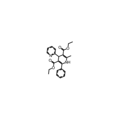 CCOC(=O)C1=C(C)NC(c2ccccc2)=C(C(=O)OCC)C1c1ccccn1